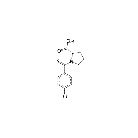 O=C(O)[C@@H]1CCCN1C(=S)c1ccc(Cl)cc1